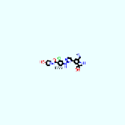 C/N=C\c1cc(-c2ccnc(Nc3cc(Cl)c(C(=O)NN4CCC(O)CC4)cc3OC)n2)cc2c1NCC2(C)CO